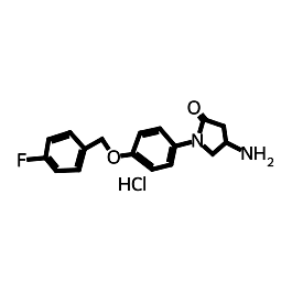 Cl.NC1CC(=O)N(c2ccc(OCc3ccc(F)cc3)cc2)C1